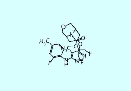 Cc1ccc(Nc2ncnc(OC3CC4COCC(C3)N4C(=O)OC(CF)CF)c2C)c(F)c1